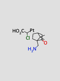 CC1(C)C2CCC1(CN)C(=O)C2.O=C(O)[CH](Cl)[Pt]